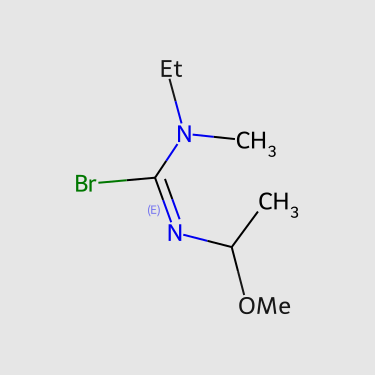 CCN(C)/C(Br)=N\C(C)OC